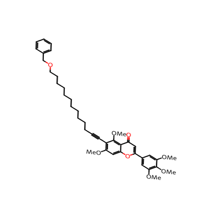 COc1cc2oc(-c3cc(OC)c(OC)c(OC)c3)cc(=O)c2c(OC)c1C#CCCCCCCCCCCCOCc1ccccc1